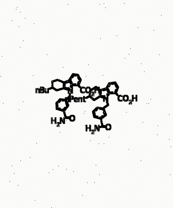 CCCCC1CCc2c(n(Cc3cccc(C(N)=O)c3)c3c(C(=O)O)cccc23)C1.CCCCCC1CCc2c(n(Cc3cccc(C(N)=O)c3)c3c(C(=O)O)cccc23)C1